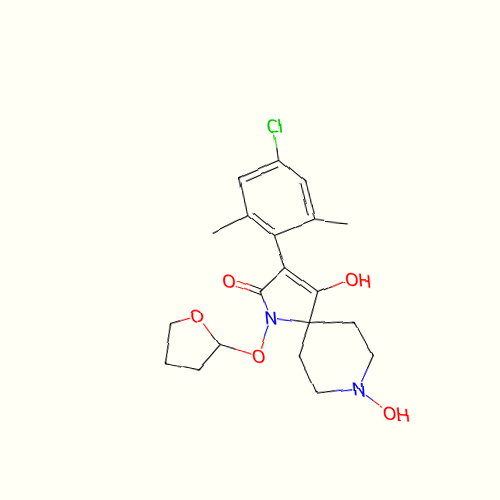 Cc1cc(Cl)cc(C)c1C1=C(O)C2(CCN(O)CC2)N(OC2CCCO2)C1=O